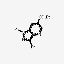 CCOC(=O)c1cnc2c(Br)nn(C(C)C)c2c1